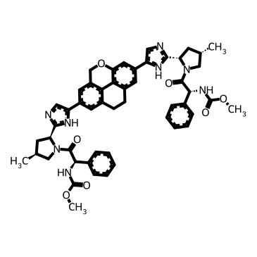 COC(=O)N[C@@H](C(=O)N1C[C@@H](C)C[C@H]1c1ncc(-c2cc3c4c(c2)COc2cc(-c5cnc([C@@H]6C[C@H](C)CN6C(=O)[C@H](NC(=O)OC)c6ccccc6)[nH]5)cc(c2-4)CC3)[nH]1)c1ccccc1